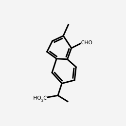 Cc1ccc2cc(C(C)C(=O)O)ccc2c1C=O